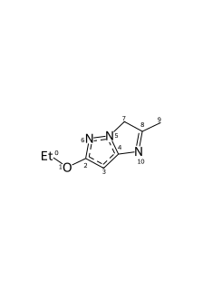 CCOc1cc2n(n1)CC(C)=N2